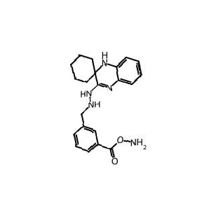 NOC(=O)c1cccc(CNNC2=Nc3ccccc3NC23CCCCC3)c1